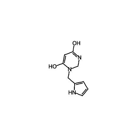 OC1=CC(O)=NCN1Cc1ccc[nH]1